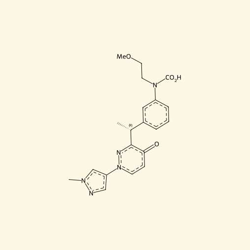 COCCN(C(=O)O)c1cccc([C@@H](C)c2nn(-c3cnn(C)c3)ccc2=O)c1